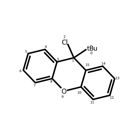 CC(C)(C)C1(Cl)c2ccccc2Oc2ccccc21